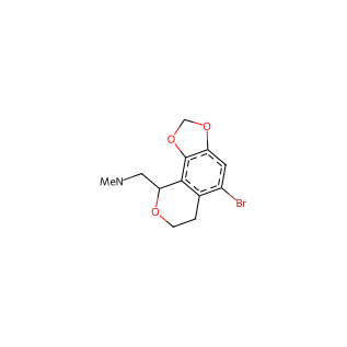 CNCC1OCCc2c(Br)cc3c(c21)OCO3